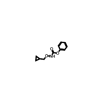 O=C(NOCC1CC1)Oc1ccccc1